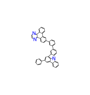 c1ccc(-c2cc3c4ccccc4n4c5ccc(-c6cccc(-c7ccc8c(c7)c7ccccc7c7nccnc87)c6)cc5c(c2)c34)cc1